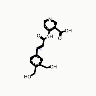 O=C(/C=C/c1ccc(CO)c(CO)c1)Nc1ccncc1C(=O)O